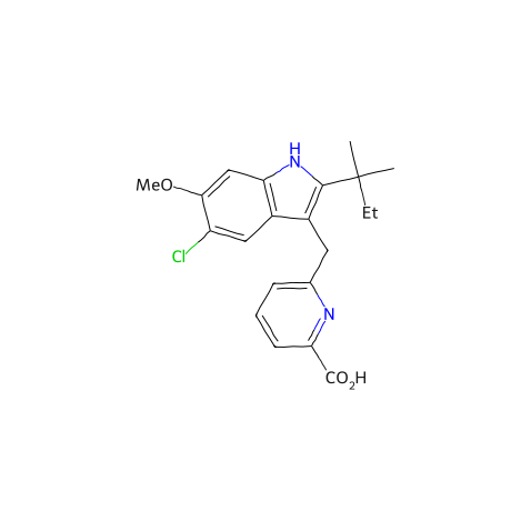 CCC(C)(C)c1[nH]c2cc(OC)c(Cl)cc2c1Cc1cccc(C(=O)O)n1